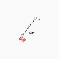 CCCCCCCCCCCCCCCCOC(CO)CS(=O)(=O)[O-].[Na+]